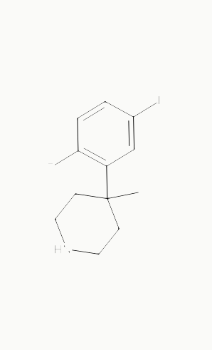 CC1(c2cc(F)ccc2F)CCNCC1